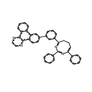 C1=C(c2ccccc2)/N=C(c2ccccc2)\N=C(\c2cccc(-c3ccc4c(c3)c3ccccc3c3nccnc43)c2)CC\1